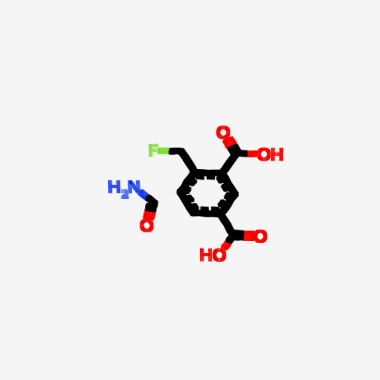 NC=O.O=C(O)c1ccc(CF)c(C(=O)O)c1